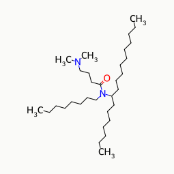 CCCCCCCCCCC(CCCCCCC)N(CCCCCCCC)C(=O)CCCN(C)C